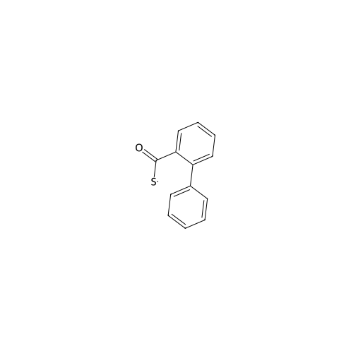 O=C([S])c1ccccc1-c1ccccc1